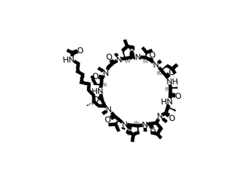 CC[C@@H]1NC(=O)C(C[C@H](C)CCCCCCCNC(C)=O)N(C)C(=O)[C@H](C(C)C)N(C)C(=O)[C@H](CC(C)C)N(C)C(=O)C(CC(C)C)N(C)C(=O)[C@H](C)NC(=O)[C@H](C)NC(=O)[C@H](CC(C)C)N(C)C(=O)[C@H](C(C)C)NC(=O)[C@H](CC(C)C)N(C)C(=O)CN(C)C1=O